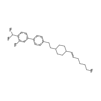 FCCCCC=CC1CCC(CCc2ccc(-c3ccc(C(F)F)c(F)c3)cc2)CC1